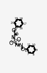 O=S(=O)(N=NOc1ccccc1)N=NOc1ccccc1